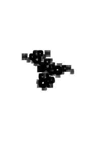 CC1(C(=O)O)CCC(n2ncc(C(=O)N(CC(=O)c3c(Cl)cccc3Cl)C[C@]34CC[C@@](C)(CC3)C4)c2C(F)(F)F)CC1